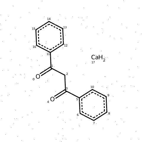 O=C(CC(=O)c1ccccc1)c1ccccc1.[CaH2]